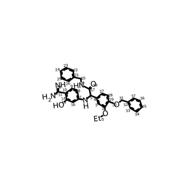 CCOc1cc(C(Nc2ccc(C(=N)N)c(O)c2)C(=O)NCc2ccccc2)ccc1OCc1ccccc1